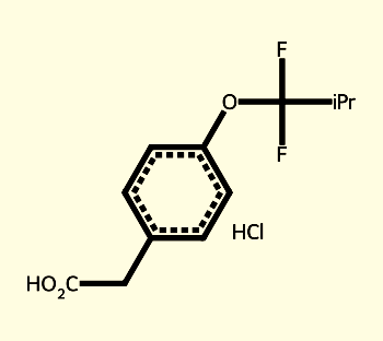 CC(C)C(F)(F)Oc1ccc(CC(=O)O)cc1.Cl